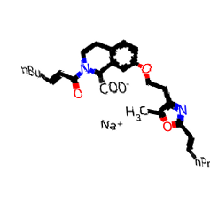 CCC/C=C/c1nc(CCOc2ccc3c(c2)C(C(=O)[O-])N(C(=O)C=CCCCC)CC3)c(C)o1.[Na+]